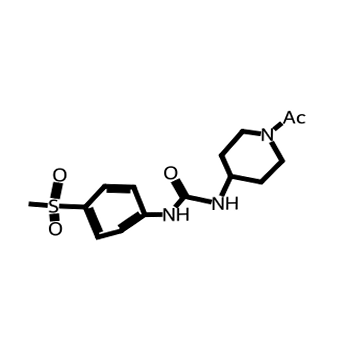 CC(=O)N1CCC(NC(=O)Nc2ccc(S(C)(=O)=O)cc2)CC1